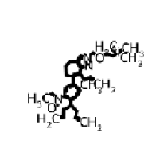 C=CCC1=C(c2cc(N(C=O)CC)c(C(CC=C)CC=C)cc2C)CCCc2cn(COCC[Si](C)(C)C)nc21